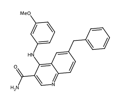 COc1cccc(Nc2c(C(N)=O)cnc3ccc(Cc4ccccc4)cc23)c1